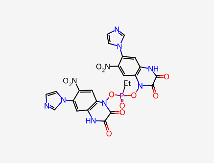 CCP(=O)(On1c(=O)c(=O)[nH]c2cc(-n3ccnc3)c([N+](=O)[O-])cc21)On1c(=O)c(=O)[nH]c2cc(-n3ccnc3)c([N+](=O)[O-])cc21